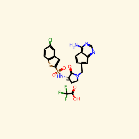 Nc1ncnc2cc(CN3CC[C@H](NS(=O)(=O)c4cc5cc(Cl)ccc5s4)C3=O)ccc12.O=C(O)C(F)(F)F